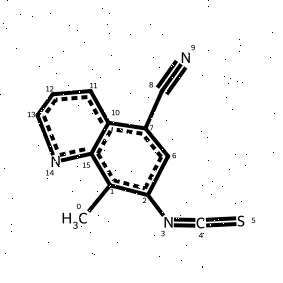 Cc1c(N=C=S)cc(C#N)c2cccnc12